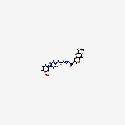 COc1ccc2c(c1)C=C(C(=O)NCCCCN1CCN(c3cccc(O)c3)CC1)CS2